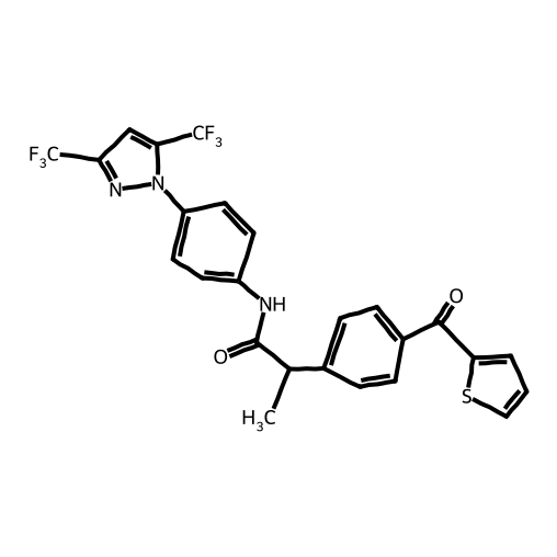 CC(C(=O)Nc1ccc(-n2nc(C(F)(F)F)cc2C(F)(F)F)cc1)c1ccc(C(=O)c2cccs2)cc1